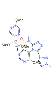 COc1cnc([C@@H](OC)[C@H](C)S(=O)(=O)Nc2nnc(-c3ccn(C)n3)n2-c2c(OC)ncnc2OC)cn1